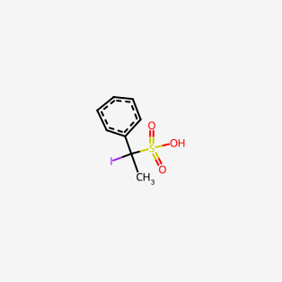 CC(I)(c1ccccc1)S(=O)(=O)O